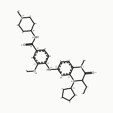 CCC1C(=O)N(C)c2ccc(Nc3ccc(C(=O)NC4CCN(C)CC4)cc3OC)nc2N1C1CCCC1